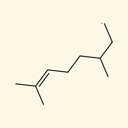 [CH2]CC(C)CCC=C(C)C